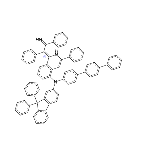 N=C(/C(=C1\NC(c2ccccc2)=Cc2c1cccc2N(c1ccc(-c2ccc(-c3ccccc3)cc2)cc1)c1ccc2c(c1)C(c1ccccc1)(c1ccccc1)c1ccccc1-2)c1ccccc1)c1ccccc1